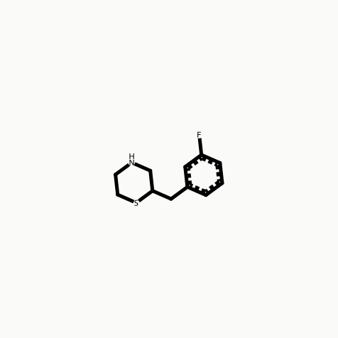 Fc1cccc(CC2CNCCS2)c1